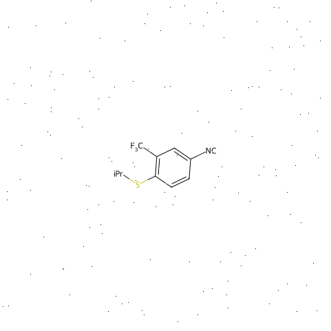 [C-]#[N+]c1ccc(SC(C)C)c(C(F)(F)F)c1